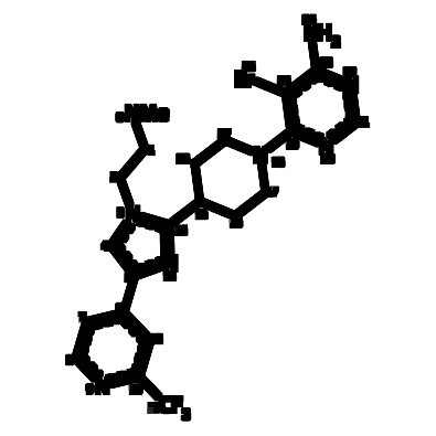 CNCCn1cc(-c2ccnc(C(F)(F)F)c2)nc1C1CCN(c2ncnc(N)c2Br)CC1